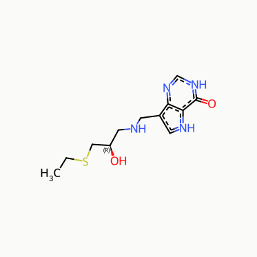 CCSC[C@H](O)CNCc1c[nH]c2c(=O)[nH]cnc12